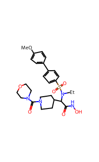 CCN(C(C(=O)NO)C1CCN(C(=O)N2CCOCC2)CC1)S(=O)(=O)c1ccc(-c2ccc(OC)cc2)cc1